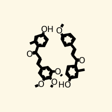 COc1cc(C=CC(=O)c2ccc(O)cc2C)cc(OC)c1OC.COc1ccc(C=CC(=O)c2ccc(O)cc2C)cc1